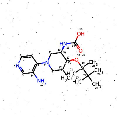 C[C@H]1CN(c2ccncc2N)C[C@@H](NC(=O)O)[C@H]1O[Si](C)(C)C(C)(C)C